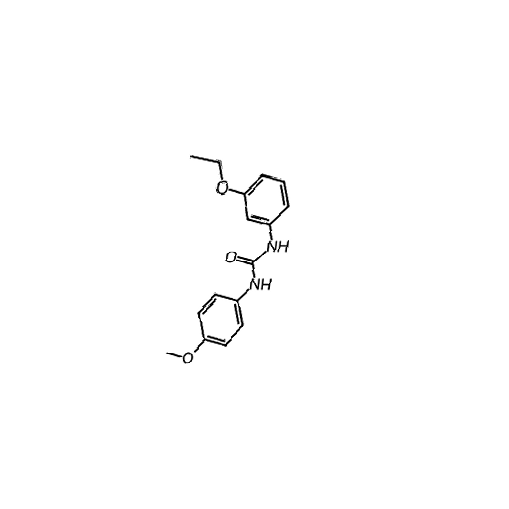 CCOc1cccc(NC(=O)Nc2ccc(OC)cc2)c1